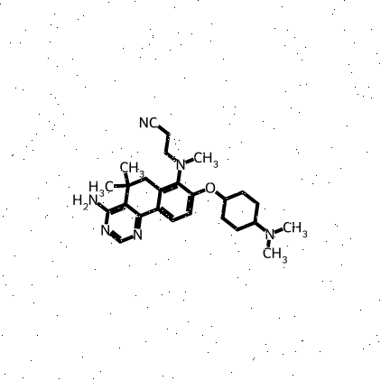 CN(CCC#N)c1c(OC2CCC(N(C)C)CC2)ccc2c1CC(C)(C)c1c(N)ncnc1-2